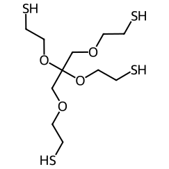 SCCOCC(COCCS)(OCCS)OCCS